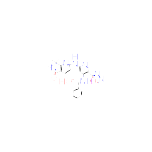 CN1C(=O)c2ccc(Nc3cc(N[C@H](CO)c4ccccc4)c(-c4nnco4)cn3)nc2C1(C)C